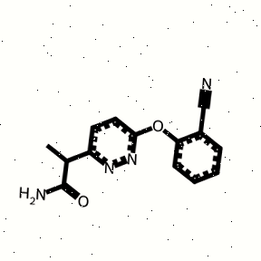 CC(C(N)=O)c1ccc(Oc2ccccc2C#N)nn1